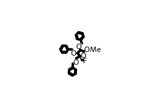 CO[C@H]1O[C@](CF)(COCc2ccccc2)[C@@H](OCc2ccccc2)[C@H]1OCc1ccccc1